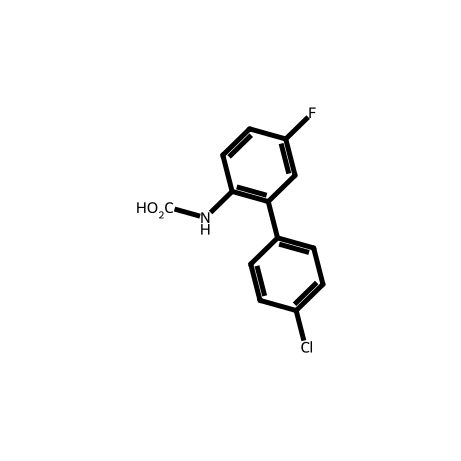 O=C(O)Nc1ccc(F)cc1-c1ccc(Cl)cc1